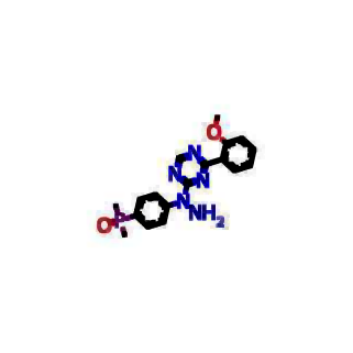 COc1ccccc1-c1ncnc(N(N)c2ccc(P(C)(C)=O)cc2)n1